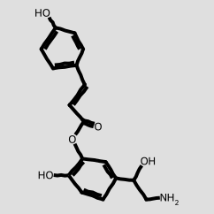 NCC(O)c1ccc(O)c(OC(=O)C=Cc2ccc(O)cc2)c1